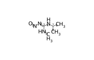 CN/C(=N\N=O)NC(C)C